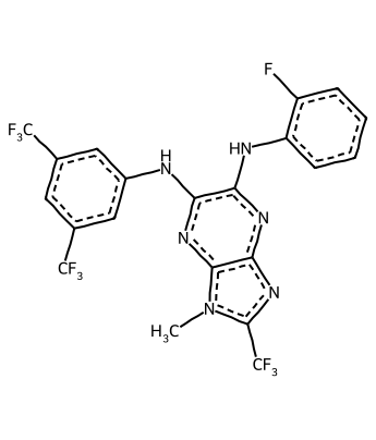 Cn1c(C(F)(F)F)nc2nc(Nc3ccccc3F)c(Nc3cc(C(F)(F)F)cc(C(F)(F)F)c3)nc21